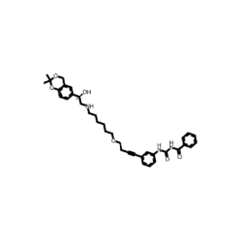 CC1(C)OCc2cc([C@@H](O)CNCCCCCCOCCC#Cc3cccc(NC(=O)NC(=O)c4ccccc4)c3)ccc2O1